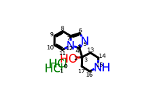 Cl.Cl.OC1(c2ncc3ccccn23)CCNCC1